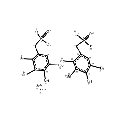 CCc1c(CP(=O)([O-])[O-])cc(C(C)(C)C)c(O)c1C(C)(C)C.CCc1c(CP(=O)([O-])[O-])cc(C(C)(C)C)c(O)c1C(C)(C)C.[Sr+2].[Sr+2]